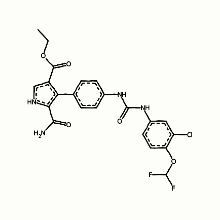 CCOC(=O)c1c[nH]c(C(N)=O)c1-c1ccc(NC(=O)Nc2ccc(OC(F)F)c(Cl)c2)cc1